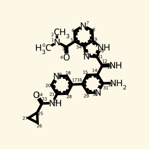 CN(C)C(=O)c1cncc2[nH]c(C(=N)c3cc(-c4cncc(NC(=O)C5CC5)c4)cnc3N)nc12